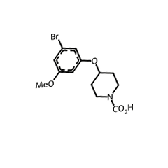 COc1cc(Br)cc(OC2CCN(C(=O)O)CC2)c1